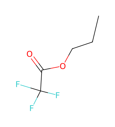 CCCOC(=O)C(F)(F)F